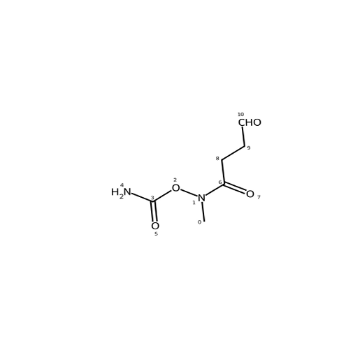 CN(OC(N)=O)C(=O)CCC=O